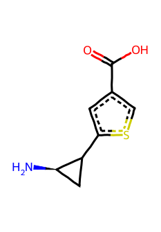 N[C@@H]1CC1c1cc(C(=O)O)cs1